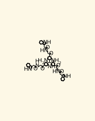 Nc1cc(C(=O)CCNC(=O)Cc2c[nH]c3ccccc23)ccc1C(c1ccc(C(=O)CCNC(=O)Cc2c[nH]c3ccccc23)cc1N)c1ccc(C(=O)CCNC(=O)Cc2c[nH]c3ccccc23)cc1N